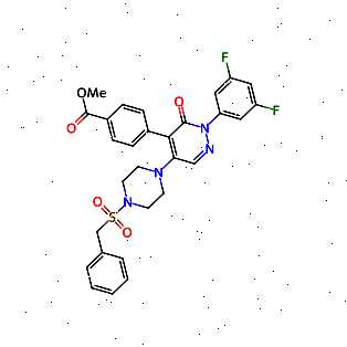 COC(=O)c1ccc(-c2c(N3CCN(S(=O)(=O)Cc4ccccc4)CC3)cnn(-c3cc(F)cc(F)c3)c2=O)cc1